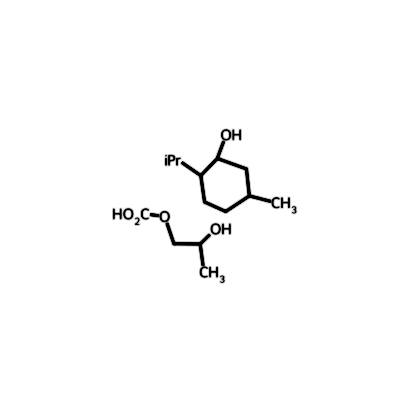 CC(O)COC(=O)O.CC1CCC(C(C)C)C(O)C1